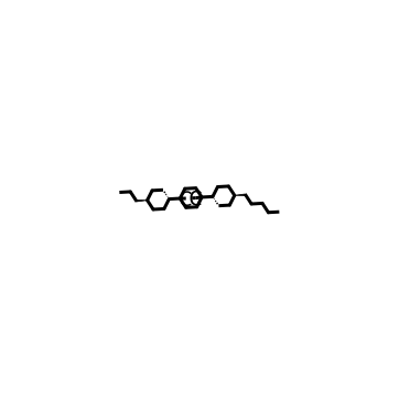 CCCCC[C@H]1CC[C@H](C23CCC([C@H]4CC[C@H](CCC)CC4)(CC2)CC3)CC1